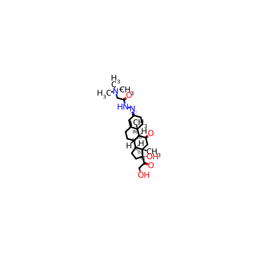 C[C@]12CC/C(=N/NC(=O)C[N+](C)(C)C)C=C1CC[C@@H]1[C@@H]2C(=O)C[C@@]2(C)[C@H]1CC[C@]2(O)C(=O)CO